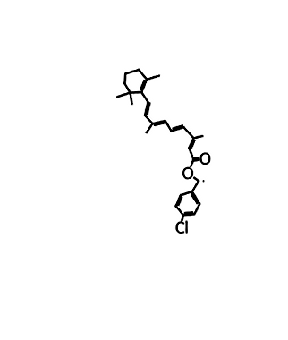 CC(C=CC1=C(C)CCCC1(C)C)=CC=CC(C)=CC(=O)O[CH]c1ccc(Cl)cc1